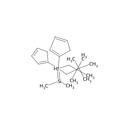 C[Si](C)=[Hf]([CH2]C(C)(C)C)([CH2]C(C)(C)C)([C]1=CC=CC1)[C]1=CC=CC1